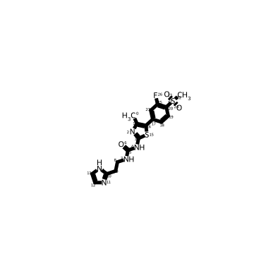 Cc1nc(NC(=O)NCCc2ncc[nH]2)sc1-c1ccc(S(C)(=O)=O)c(F)c1